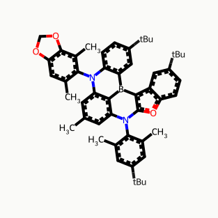 Cc1cc2c3c(c1)N(c1c(C)cc(C(C)(C)C)cc1C)c1oc4ccc(C(C)(C)C)cc4c1B3c1cc(C(C)(C)C)ccc1N2c1c(C)cc2c(c1C)OCO2